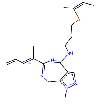 C=C/C=C(\C)C1=NCc2c(cnn2C)C(NCCCS/C(C)=C\C)=N1